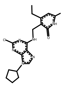 CCc1cc(C)[nH]c(=O)c1CNc1nc(Cl)nc2c1ncn2C1CCCC1